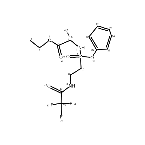 CCOC(=O)[C@H](C)NP(=O)(CCNC(=O)C(F)(F)F)Oc1ccccc1